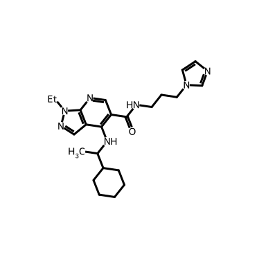 CCn1ncc2c(NC(C)C3CCCCC3)c(C(=O)NCCCn3ccnc3)cnc21